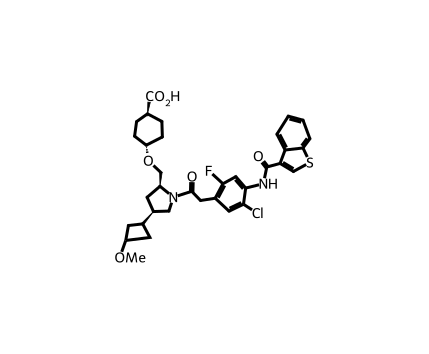 COC1CC([C@H]2C[C@@H](CO[C@H]3CC[C@H](C(=O)O)CC3)N(C(=O)Cc3cc(Cl)c(NC(=O)c4csc5ccccc45)cc3F)C2)C1